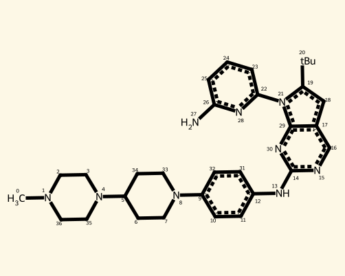 CN1CCN(C2CCN(c3ccc(Nc4ncc5cc(C(C)(C)C)n(-c6cccc(N)n6)c5n4)cc3)CC2)CC1